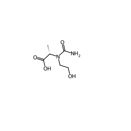 C[C@@H](C(=O)O)N(CCO)C(N)=O